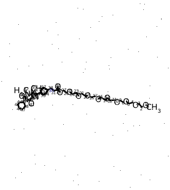 COCCOCCOCCOCCOCCOCCOCCOCCOCCOC(=O)/C=C/c1ccc(-c2nc3c(=O)n(C4CCCCC4)c(=O)n(C)c3n2C)cc1